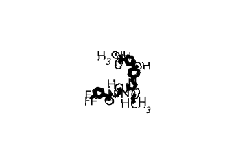 CCO[C@H]1CN(C2CCC(O)(c3cccc(C(=O)NC)c3)CC2)C[C@@H]1NC(=O)CNC(=O)c1cccc(C(F)(F)F)c1